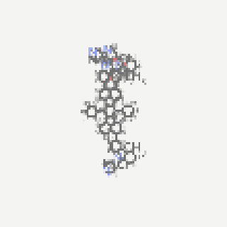 CC12CCCCC1(C)N(c1ccncc1)c1ccc(-c3ccc4c5c(-c6ccccc6)c6c7ccc(-c8ccc9c(c8)C8(C)CCCCC8(C)N9c8ccncc8)c8c(-c9ccc%10c(c9)C9(C)CCCCC9(C)N%10c9ccncc9)ccc(c6c(-c6ccccc6)c5c5cccc3c54)c87)cc12